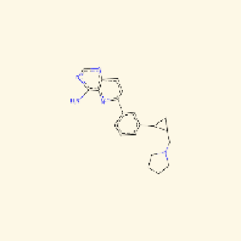 Nc1ncnc2ccc(-c3cccc(C4CC4CN4CCCC4)c3)nc12